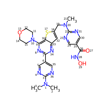 CN(C)c1ncc(-c2nc(N3CCOCC3)c3sc(CN(C)c4ncc(C(=O)NO)cn4)cc3n2)cn1